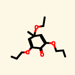 CCCOC1=CC(C)(OCC)C=C(OCCC)C1=O